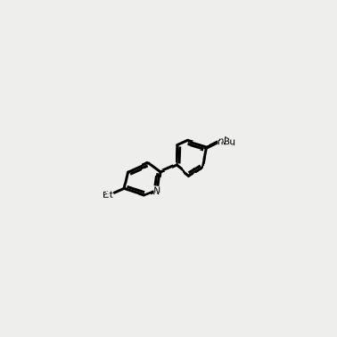 CCCCc1ccc(-c2ccc(CC)cn2)cc1